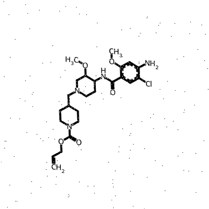 C=CCOC(=O)N1CCC(CN2CCC(NC(=O)c3cc(Cl)c(N)cc3OC)C(OC)C2)CC1